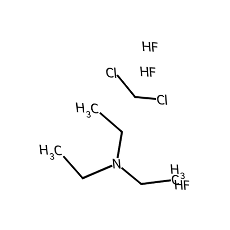 CCN(CC)CC.ClCCl.F.F.F